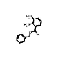 Nc1cccc(C(=O)OCc2ccccc2)c1N